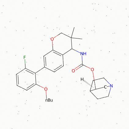 CCCCOc1cccc(F)c1-c1ccc2c(c1)OCC(C)(C)C2NC(=O)O[C@H]1CN2CCC1CC2